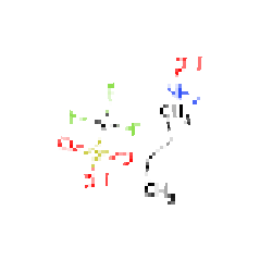 CCCC.NO.O=S(=O)(O)C(F)(F)F